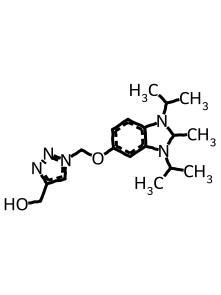 CC(C)N1c2ccc(OCn3cc(CO)nn3)cc2N(C(C)C)C1C